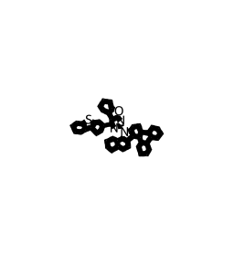 c1ccc2c(c1)ccc1c3c4c5ccccc5c5ccccc5c4ccc3n(-c3nc(-c4ccc5c(c4)sc4ccccc45)c4c(n3)oc3ccccc34)c21